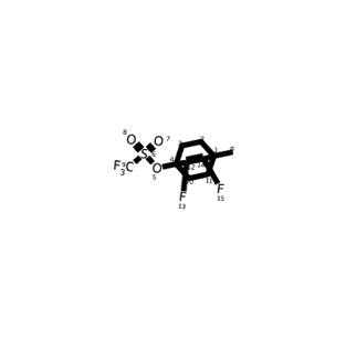 CC12CCC(OS(=O)(=O)C(F)(F)F)(CC1)C(F)=C2F